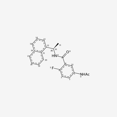 CC(=O)Nc1ccc(F)c(C(=O)N[C@H](C)c2cccc3ccccc23)c1